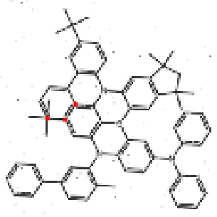 Cc1ccc(-c2ccccc2)cc1N1c2ccc(N(c3ccccc3)c3ccccc3)cc2B2c3cc4c(cc3N(c3ccc(C(C)(C)C)cc3-c3ccccc3)c3cc(C(C)(C)C)cc1c32)C(C)(C)CC4(C)C